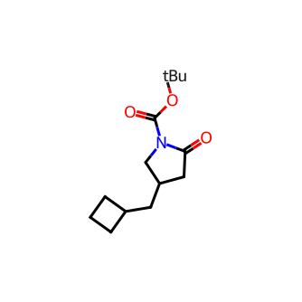 CC(C)(C)OC(=O)N1CC(CC2CCC2)CC1=O